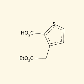 CCOC(=O)Cc1ccsc1C(=O)O